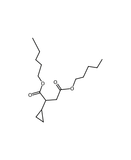 CCCCCOC(=O)CC(C(=O)OCCCCC)C1CC1